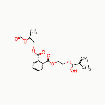 C=C(C)C(O)OCCOC(=O)c1ccccc1C(=O)OCC(C)OC=O